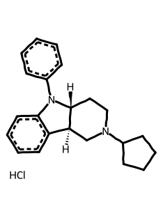 Cl.c1ccc(N2c3ccccc3[C@@H]3CN(C4CCCC4)CC[C@H]32)cc1